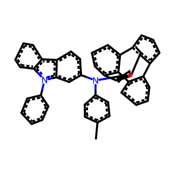 Cc1ccc(N(c2ccc3c4ccccc4n(-c4ccccc4)c3c2)c2cccc3c2-c2cccc4c2-c2ccccc2-c2cccc-4c2-3)cc1